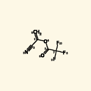 C=C(C#N)OC(=O)C(F)(F)F